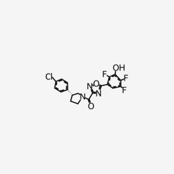 O=C(c1noc(-c2cc(F)c(F)c(O)c2F)n1)N1CC[C@H](c2ccc(Cl)cc2)C1